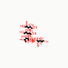 O=C(CO)C(O)C(O)CO.O=C(CO)[C@@H](O)[C@H](O)COP(=O)(O)O.OC1OC[C@@H](O)[C@H](O)[C@H]1O.OC[C@@H](O)[C@H](O)[C@@H](O)CO